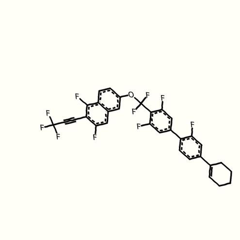 Fc1cc(C2=CCCCC2)ccc1-c1cc(F)c(C(F)(F)Oc2ccc3c(F)c(C#CC(F)(F)F)c(F)cc3c2)c(F)c1